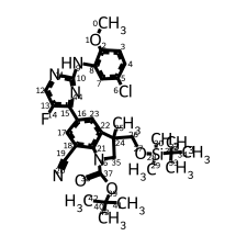 COc1ccc(Cl)cc1Nc1ncc(F)c(-c2cc(C#N)c3c(c2)C(C)(CO[Si](C)(C)C(C)(C)C)CN3C(=O)OC(C)(C)C)n1